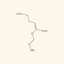 CCCCCCCCCCC=C(C=O)OCOCCCC